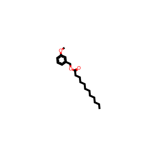 CCCCCCCCCCCC(=O)OCc1cccc(OC)c1